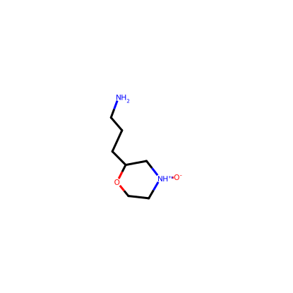 NCCCC1C[NH+]([O-])CCO1